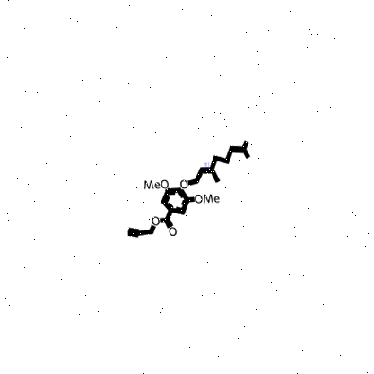 C#CCOC(=O)c1cc(OC)c(OC/C=C(\C)CCC=C(C)C)c(OC)c1